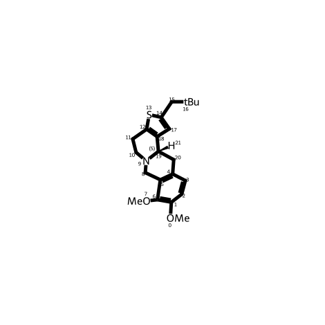 COc1ccc2c(c1OC)CN1CCc3sc(CC(C)(C)C)cc3[C@@H]1C2